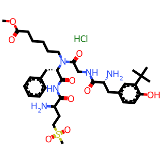 COC(=O)CCCCCN(C(=O)CNC(=O)[C@H](N)Cc1ccc(O)c(C(C)(C)C)c1)[C@@H](Cc1ccccc1)C(=O)NC(=O)C(N)CCS(C)(=O)=O.Cl